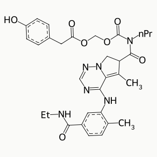 CCCN(C(=O)OCOC(=O)Cc1ccc(O)cc1)C(=O)C1CN2N=CN=C(Nc3cc(C(=O)NCC)ccc3C)C2=C1C